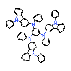 c1ccc(N(c2cc(N(c3ccccc3)c3ccc4c(c3)c3ccccc3n4-c3ccccc3)cc(N(c3ccccc3)c3ccc4c(c3)c3ccccc3n4-c3ccccc3)c2)c2ccc3c(c2)c2ccccc2n3-c2ccccc2)cc1